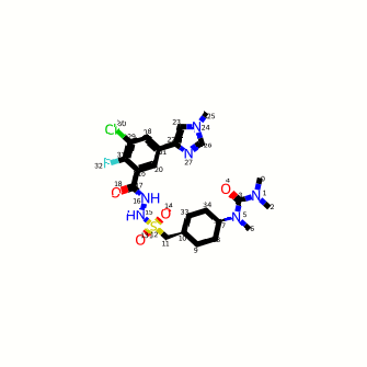 CN(C)C(=O)N(C)[C@H]1CC[C@@H](CS(=O)(=O)NNC(=O)c2cc(-c3cn(C)cn3)cc(Cl)c2F)CC1